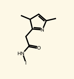 CC1=CC(C)C(CC(=O)NI)=N1